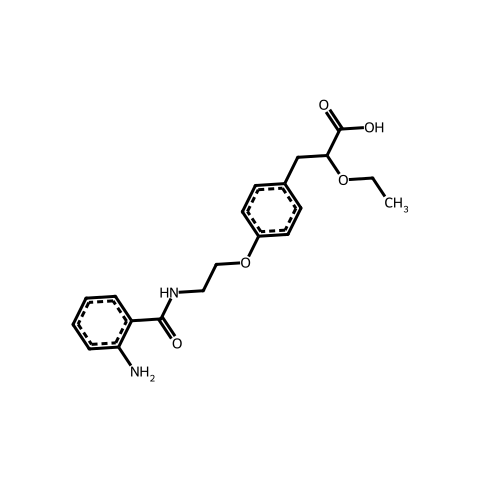 CCOC(Cc1ccc(OCCNC(=O)c2ccccc2N)cc1)C(=O)O